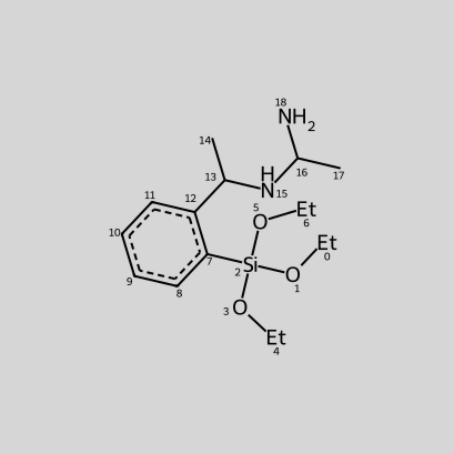 CCO[Si](OCC)(OCC)c1ccccc1C(C)NC(C)N